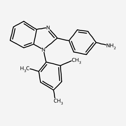 Cc1cc(C)c(-n2c(-c3ccc(N)cc3)nc3ccccc32)c(C)c1